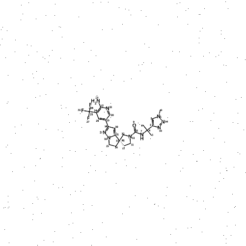 Cn1cc(C(C)(C)NC(=O)N2CC[C@@]3(CCn4nc(-c5cnc(N)c(C(F)(F)F)c5)cc43)C2)nn1